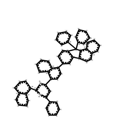 c1ccc(-c2cc(-c3ccc(-c4ccc5c(c4)-c4ccc6ccccc6c4C5(c4ccccc4)c4ccccc4)c4ccccc34)nc(-c3cccc4ccccc34)n2)cc1